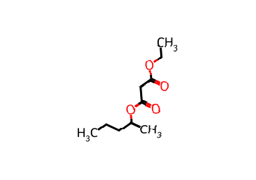 CCCC(C)OC(=O)CC(=O)OCC